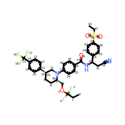 CCC(F)(F)OC[C@H]1CC[C@@H](c2ccc(C(F)(F)F)cc2)CN1c1ccc(C(=O)NC(CC#N)c2ccc(S(=O)(=O)CC)cc2)cc1